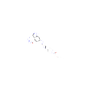 CC(C)(C)OC(=O)N1CCC(/C=C/C(=O)Nc2cc3c4c(c[nH]c4c2)C=NNC3=O)CC1